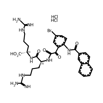 Cl.Cl.N=C(N)NCCC[C@H](NC(=O)[C@H](CCCNC(=N)N)NC(=O)C(=O)c1cc(Br)ccc1NC(=O)c1ccc2ccccc2c1)C(=O)O